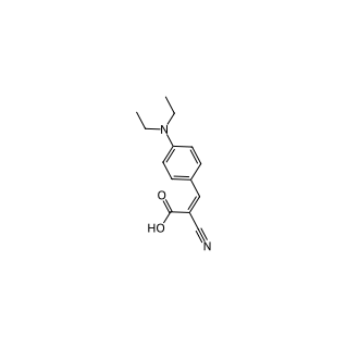 CCN(CC)c1ccc(C=C(C#N)C(=O)O)cc1